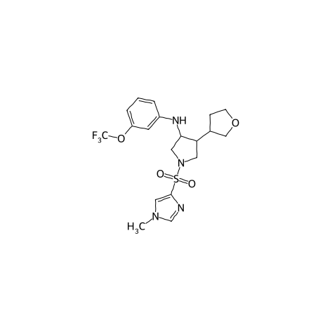 Cn1cnc(S(=O)(=O)N2CC(Nc3cccc(OC(F)(F)F)c3)C(C3CCOC3)C2)c1